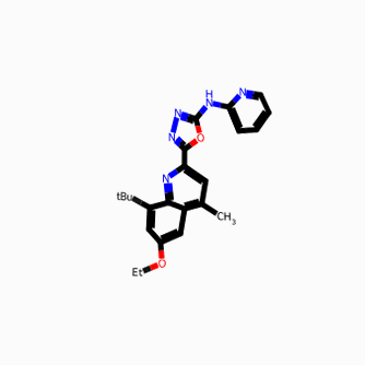 CCOc1cc(C(C)(C)C)c2nc(-c3nnc(Nc4ccccn4)o3)cc(C)c2c1